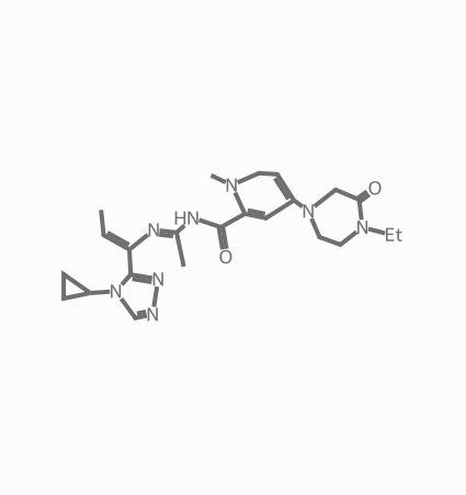 C/C=C(\N=C(/C)NC(=O)C1=CC(N2CCN(CC)C(=O)C2)=CCN1C)c1nncn1C1CC1